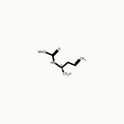 C=CC[C@H](NC(=O)OC)C(=O)O